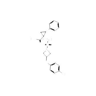 O=C(O)[C@@]1(NS(=O)(=O)N2CC(Oc3ccc(Cl)cc3)C2)C[C@H]1c1ccccc1